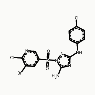 Nc1nc(Nc2ccc(Cl)cc2)nn1S(=O)(=O)c1cnc(Cl)c(Br)c1